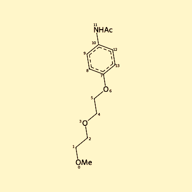 COCCOCCOc1ccc(NC(C)=O)cc1